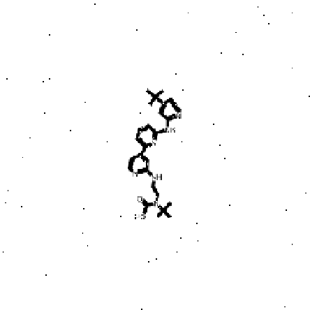 CC(C)(C)c1ccnc(Nc2cccc(-c3ccnc(NCCN(C(=O)O)C(C)(C)C)c3)n2)c1